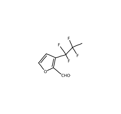 CC(F)(F)C(F)(F)c1ccoc1[C]=O